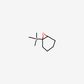 C[Si](C)(C)C12CCCCC1O2